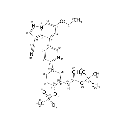 CCOc1cc(-c2ccc(N3CC[C@@H](OS(C)(=O)=O)[C@@H](NC(=O)OC(C)(C)C)C3)nc2)c2c(C#N)cnn2c1